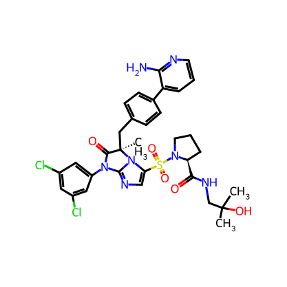 CC(C)(O)CNC(=O)[C@@H]1CCCN1S(=O)(=O)c1cnc2n1[C@](C)(Cc1ccc(-c3cccnc3N)cc1)C(=O)N2c1cc(Cl)cc(Cl)c1